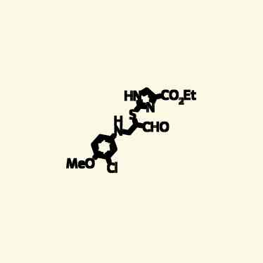 CCOC(=O)c1c[nH]c(SC(C=O)CNc2ccc(OC)c(Cl)c2)n1